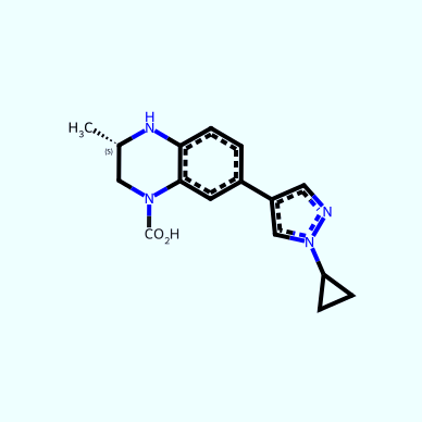 C[C@H]1CN(C(=O)O)c2cc(-c3cnn(C4CC4)c3)ccc2N1